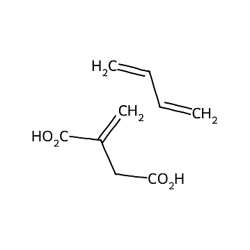 C=C(CC(=O)O)C(=O)O.C=CC=C